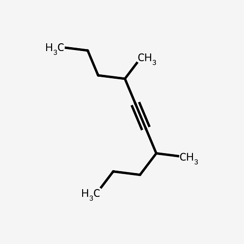 CCCC(C)C#CC(C)CCC